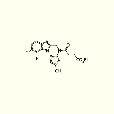 CCOC(=O)CCC(=O)N(Cc1nc2c(F)c(F)ccc2s1)c1cc(C)cs1